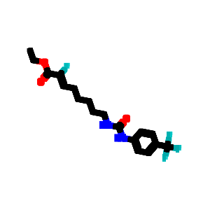 CCOC(=O)/C(F)=C/CCCCCNC(=O)Nc1ccc(C(F)(F)F)cc1